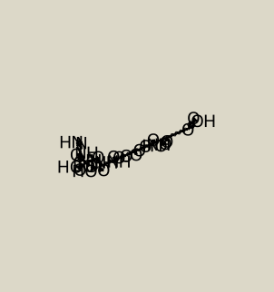 CCC[C@H](CCC(=O)[C@H](CCC(=O)O)NC(=O)C(C)(C)C(=O)NCCc1c[nH]cn1)C(=O)CN[C@@H](CCCCNC(=O)COCCOCCCC(=O)COCCOCCNC(=O)CC[C@H](CC(=O)CCCCCCCCCOc1ccc(C(=O)O)cc1)C(=O)O)[C@@H](CCC(=O)O)C(C)=O